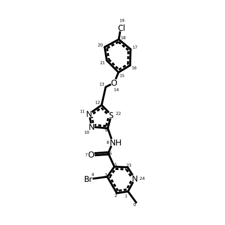 Cc1cc(Br)c(C(=O)Nc2nnc(COc3ccc(Cl)cc3)s2)cn1